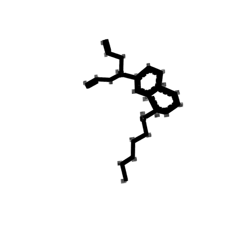 C=CCN(CC=C)c1ccc2cccc(OCCCCC)c2c1